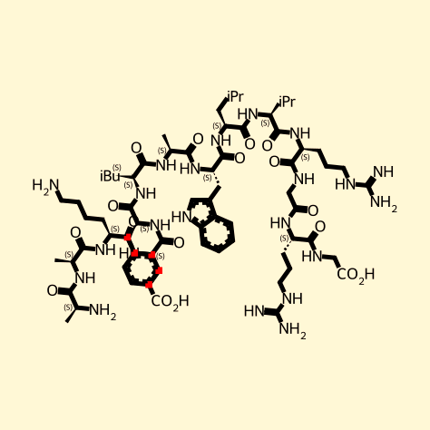 CC[C@H](C)[C@H](NC(=O)[C@H](Cc1ccccc1)NC(=O)[C@H](CCC(=O)O)NC(=O)[C@H](CCCCN)NC(=O)[C@H](C)NC(=O)[C@H](C)N)C(=O)N[C@@H](C)C(=O)N[C@@H](Cc1c[nH]c2ccccc12)C(=O)N[C@@H](CC(C)C)C(=O)N[C@H](C(=O)N[C@@H](CCCNC(=N)N)C(=O)NCC(=O)N[C@@H](CCCNC(=N)N)C(=O)NCC(=O)O)C(C)C